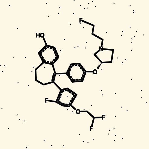 Oc1ccc2c(c1)CCCC(c1ccc(OCC(F)F)cc1F)=C2c1ccc(O[C@H]2CCN(CCCF)C2)cc1